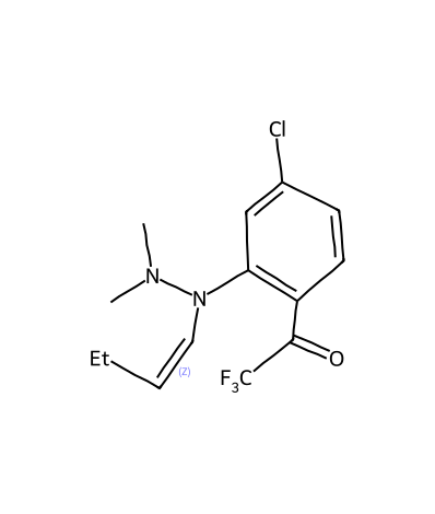 CC/C=C\N(c1cc(Cl)ccc1C(=O)C(F)(F)F)N(C)C